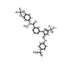 CN(C(=O)c1cccc(-n2nc(C(F)(F)F)cc2OCc2ccc(C(=O)O)cc2)c1)c1ccc2c(c1)OC(F)(F)O2